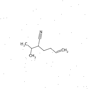 C=CCCC(C#N)C(C)C